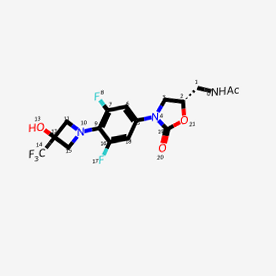 CC(=O)NC[C@H]1CN(c2cc(F)c(N3CC(O)(C(F)(F)F)C3)c(F)c2)C(=O)O1